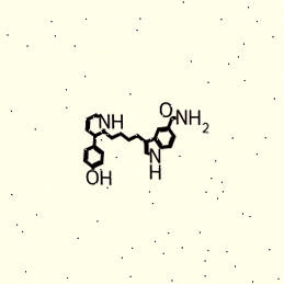 NC(=O)c1ccc2[nH]cc(CCCCC3NCC=CC3c3ccc(O)cc3)c2c1